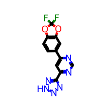 FC1(F)Oc2ccc(-c3cc(-c4nn[nH]n4)ncn3)cc2O1